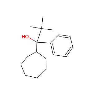 CC(C)(C)C(O)(c1ccccc1)C1CCCCCC1